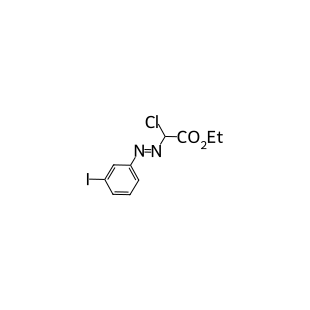 CCOC(=O)C(Cl)N=Nc1cccc(I)c1